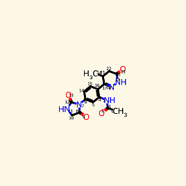 CC(=O)Nc1cc(N2C(=O)CNC2=O)ccc1C1=NNC(=O)CC1C